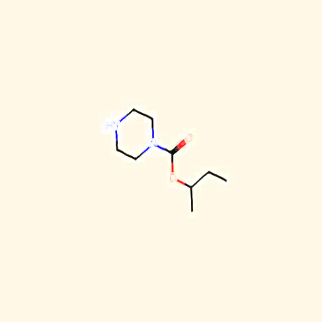 CCC(C)OC(=O)N1CCNCC1